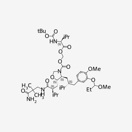 CCC(OC)Oc1cc(C[C@@H](C[C@H]2[C@H](C[C@H](C(=O)NCC(C)(C)C(N)=O)C(C)C)OCN2C(=O)OCOC(=O)[C@@H](NC(=O)OC(C)(C)C)C(C)C)C(C)C)ccc1OC